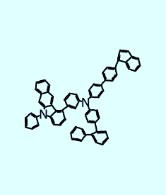 c1ccc(-c2ccccc2-c2ccc(N(c3ccc(-c4ccc(-c5cccc6ccccc56)cc4)cc3)c3cccc(-c4cccc5c4c4cc6ccccc6cc4n5-c4ccccc4)c3)cc2)cc1